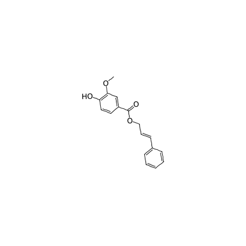 COc1cc(C(=O)OCC=Cc2ccccc2)ccc1O